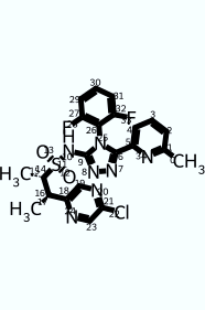 Cc1cccc(-c2nnc(NS(=O)(=O)[C@@H](C)[C@H](C)c3cnc(Cl)cn3)n2-c2c(F)cccc2F)n1